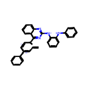 C=C/C=C(\C=C/C(C)c1nc(Nc2ccccc2Nc2ccccc2)nc2ccccc12)c1ccccc1